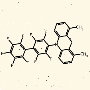 Cc1cccc2c1Cc1c(C)cccc1N2c1c(F)c(F)c(-c2c(F)c(F)c(F)c(F)c2F)c(F)c1F